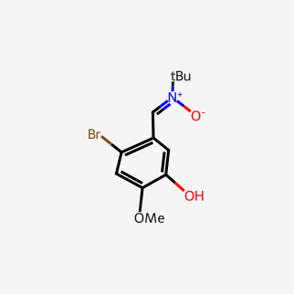 COc1cc(Br)c(C=[N+]([O-])C(C)(C)C)cc1O